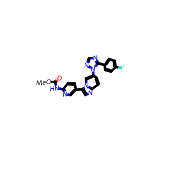 COC(=O)Nc1ccc(-c2cnc3ccc(-n4ncnc4-c4ccc(F)cc4)cn23)cn1